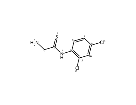 NCC(=S)Nc1ccc(Cl)cc1Cl